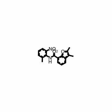 Cc1cccc([N+](=O)[O-])c1NC(=O)c1cccc2c(C)c(C)oc12